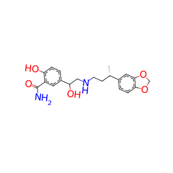 C[C@@H](CCNCC(O)c1ccc(O)c(C(N)=O)c1)c1ccc2c(c1)OCO2